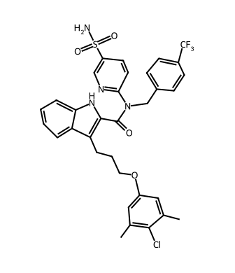 Cc1cc(OCCCc2c(C(=O)N(Cc3ccc(C(F)(F)F)cc3)c3ccc(S(N)(=O)=O)cn3)[nH]c3ccccc23)cc(C)c1Cl